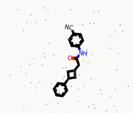 N#Cc1ccc(NC(=O)CC2CC(c3ccccc3)C2)cc1